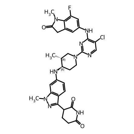 C[C@@H]1CN(c2ncc(Cl)c(Nc3cc(F)c4c(c3)CC(=O)N4C)n2)CC[C@H]1Nc1ccc2c(C3CCC(=O)NC3=O)nn(C)c2c1